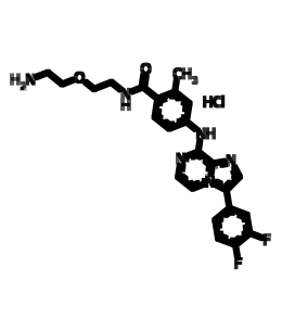 Cc1cc(Nc2nccn3c(-c4ccc(F)c(F)c4)cnc23)ccc1C(=O)NCCOCCN.Cl